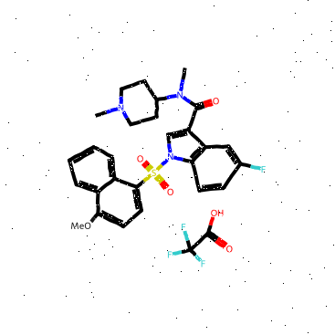 COc1ccc(S(=O)(=O)n2cc(C(=O)N(C)C3CCN(C)CC3)c3cc(F)ccc32)c2ccccc12.O=C(O)C(F)(F)F